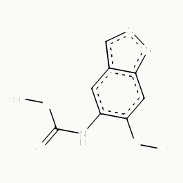 CC(C)(C)OC(=O)Nc1cc2cn[nH]c2cc1OC(F)(F)F